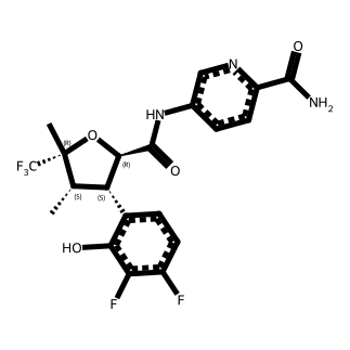 C[C@H]1[C@@H](c2ccc(F)c(F)c2O)[C@H](C(=O)Nc2ccc(C(N)=O)nc2)O[C@@]1(C)C(F)(F)F